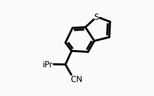 CC(C)C(C#N)c1ccc2sccc2c1